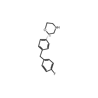 Fc1ccc(Cc2c[c]c([C@H]3CNCCO3)cc2)cc1